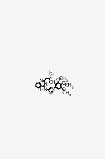 COc1cc(-n2cnc(Nc3nc(CC(C)C)nc4c3CCC4)c2)cc(OC)c1OC